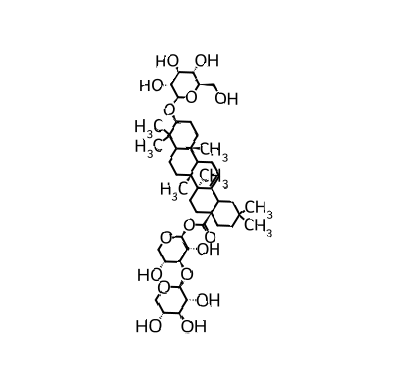 CC1(C)CC[C@]2(C(=O)O[C@@H]3OC[C@@H](O)[C@H](O[C@@H]4OC[C@@H](O)[C@H](O)[C@H]4O)[C@H]3O)CC[C@]3(C)C(=CCC4[C@@]5(C)CC[C@H](O[C@@H]6O[C@H](CO)[C@@H](O)[C@H](O)[C@H]6O)C(C)(C)C5CC[C@]43C)C2C1